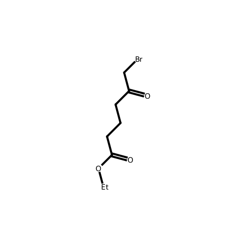 CCOC(=O)CCCC(=O)CBr